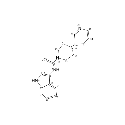 O=C(Nc1n[nH]c2ccccc12)N1CCN(c2cccnc2)CC1